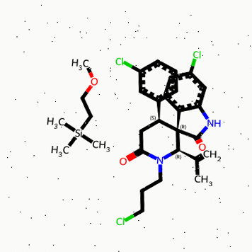 C=C(C)[C@H]1N(CCCCl)C(=O)C[C@@H](c2cccc(Cl)c2)[C@]12C(=O)Nc1cc(Cl)ccc12.COCC[Si](C)(C)C